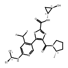 CC[C@H](Nc1cc(C(F)F)c(-c2sc(C(=O)N[C@@H]3C[C@H]3O)nc2C(=O)N2CCC[C@@H]2C)cn1)C(F)(F)F